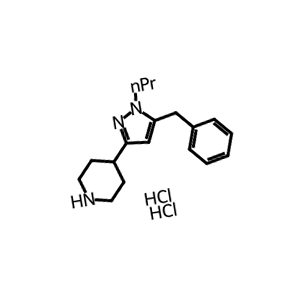 CCCn1nc(C2CCNCC2)cc1Cc1ccccc1.Cl.Cl